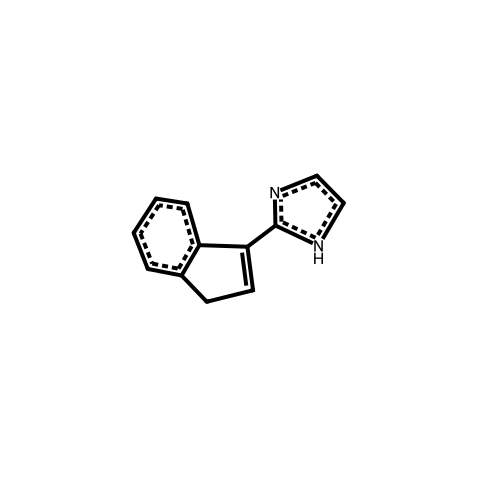 C1=C(c2ncc[nH]2)c2ccccc2C1